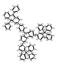 c1ccc(-c2c3ccccc3c(-c3ccccc3)c3cc(-c4ccc(-n5c6ccc(-c7ccc8c(c7)C(c7ccccc7)(c7ccccc7)c7ccccc7-8)cc6c6cc(-c7ccc8c(c7)C(c7ccccc7)(c7ccccc7)c7ccccc7-8)ccc65)cc4)ccc23)cc1